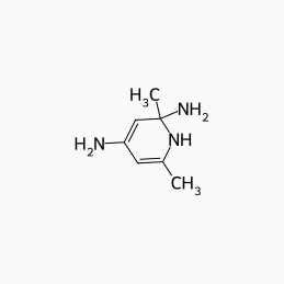 CC1=CC(N)=CC(C)(N)N1